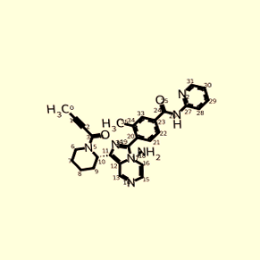 CC#CC(=O)N1CCCC[C@H]1C1=C2C=NC=C[N+]2(N)C(c2ccc(C(=O)Nc3ccccn3)cc2C)=N1